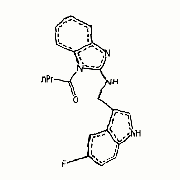 CCCC(=O)n1c(NCc2c[nH]c3ccc(F)cc23)nc2ccccc21